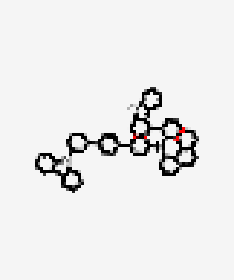 c1cc(-c2ccc(-c3ccc(N(c4ccccc4-c4cccc5oc6ccccc6c45)c4cccc5ccc6ccccc6c45)cc3)cc2)cc(-n2c3ccccc3c3ccccc32)c1